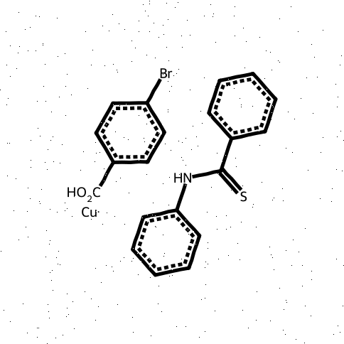 O=C(O)c1ccc(Br)cc1.S=C(Nc1ccccc1)c1ccccc1.[Cu]